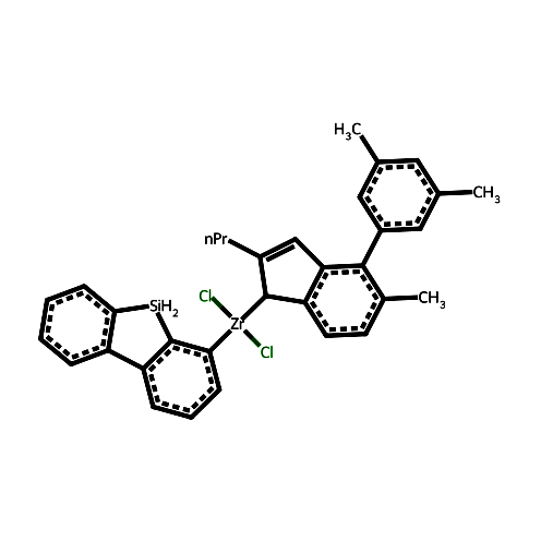 CCCC1=Cc2c(ccc(C)c2-c2cc(C)cc(C)c2)[CH]1[Zr]([Cl])([Cl])[c]1cccc2c1[SiH2]c1ccccc1-2